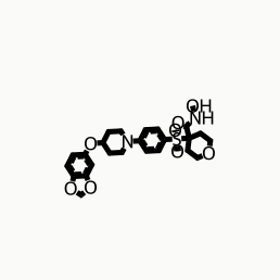 O=C(NO)C1(S(=O)(=O)c2ccc(N3CCC(Oc4ccc5c(c4)OCO5)CC3)cc2)CCOCC1